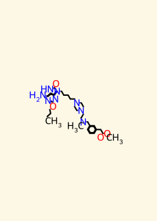 CCCCOc1nc(N)c2[nH]c(=O)n(CCCCCN3CCN(CCN(C)Cc4cccc(CC(=O)OC)c4)CC3)c2n1